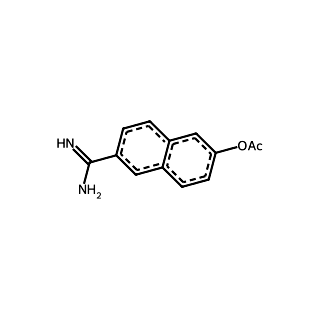 CC(=O)Oc1ccc2cc(C(=N)N)ccc2c1